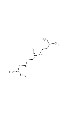 CC(C)CCNC(=O)CCSCC(C)C